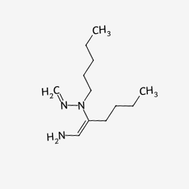 C=NN(CCCCC)/C(=C\N)CCCC